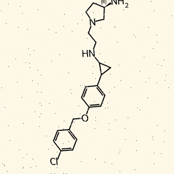 N[C@@H]1CCN(CCNC2CC2c2ccc(OCc3ccc(Cl)cc3)cc2)C1